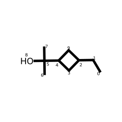 CCC1CC(C(C)(C)O)C1